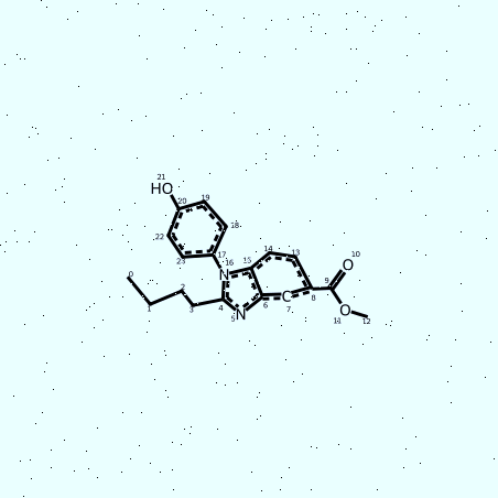 CCCCc1nc2cc(C(=O)OC)ccc2n1-c1ccc(O)cc1